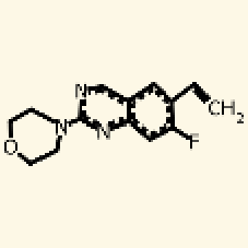 C=Cc1cc2cnc(N3CCOCC3)nc2cc1F